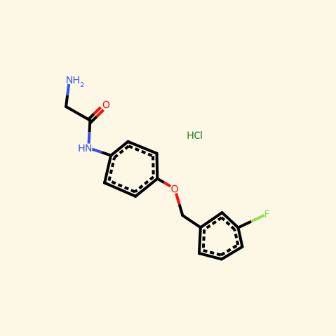 Cl.NCC(=O)Nc1ccc(OCc2cccc(F)c2)cc1